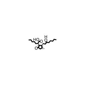 CCCCCC(C(=O)O)[C@@H]1C(=O)C[C@@H](C)[C@@H]1CC[C@@H](O)CCCCC